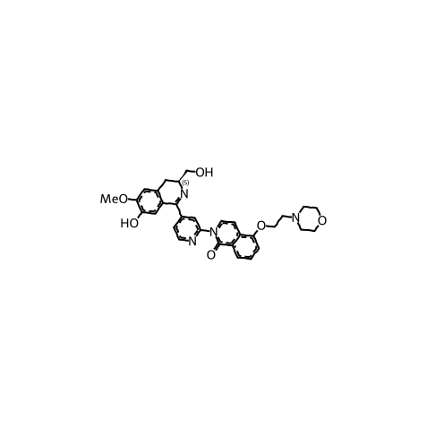 COc1cc2c(cc1O)C(c1ccnc(-n3ccc4c(OCCN5CCOCC5)cccc4c3=O)c1)=N[C@H](CO)C2